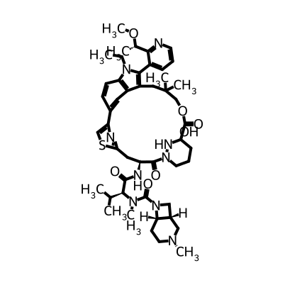 CCn1c(-c2cccnc2[C@H](C)OC)c2c3cc(ccc31)-c1csc(n1)C[C@H](NC(=O)[C@H](C(C)C)N(C)C(=O)N1C[C@@H]3CN(C)CC[C@@H]31)C(=O)N1CCC[C@@](O)(N1)C(=O)OCC(C)(C)C2